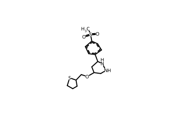 CS(=O)(=O)c1ccc(C2CC(OCC3CCCS3)CNN2)cc1